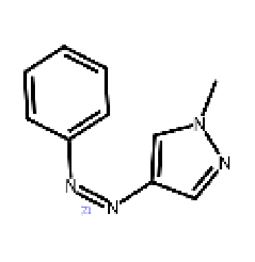 Cn1cc(/N=N\c2ccccc2)cn1